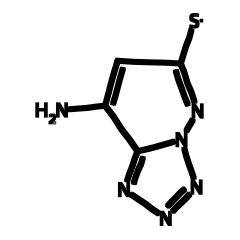 Nc1cc([S])nn2nnnc12